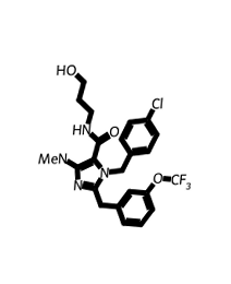 CNc1nc(Cc2cccc(OC(F)(F)F)c2)n(Cc2ccc(Cl)cc2)c1C(=O)NCCCO